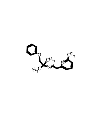 CC(C)(COc1ccccc1)NCCc1cccc(C(F)(F)F)n1